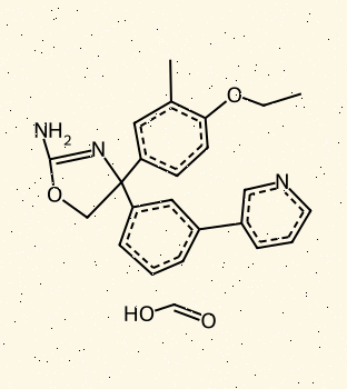 CCOc1ccc(C2(c3cccc(-c4cccnc4)c3)COC(N)=N2)cc1C.O=CO